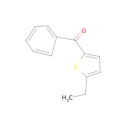 CCc1ccc(C(=O)c2ccccc2)s1